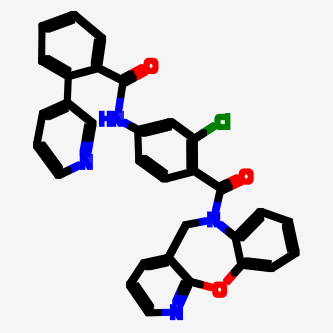 O=C(Nc1ccc(C(=O)N2Cc3cccnc3Oc3ccccc32)c(Cl)c1)c1ccccc1-c1cccnc1